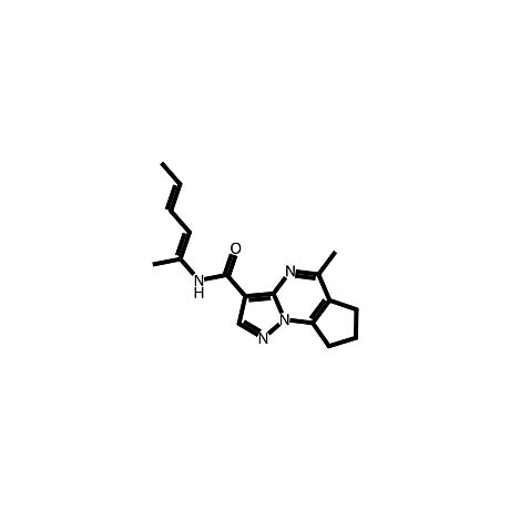 CC=CC=C(C)NC(=O)c1cnn2c3c(c(C)nc12)CCC3